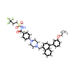 CCOc1cccc(-c2ccc(CN3CCN(c4ccc(C(=O)NS(=O)(=O)CCC(F)(F)F)cc4)CC3)c3ccccc23)c1